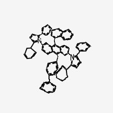 C1=CCC(c2ccc(-c3ccccc3)n2-c2ccc3c(-c4ccc(-c5ccccc5)cc4)c4cc(-n5c(-c6ccccc6)ccc5C5C=CCCC5)ccc4c(-c4cccc5ccccc45)c3c2)C=C1